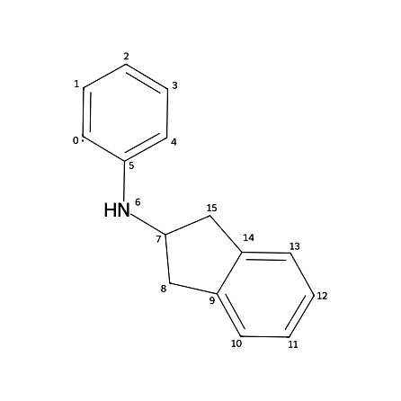 [c]1ccccc1NC1Cc2ccccc2C1